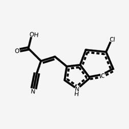 N#C/C(=C\c1c[nH]c2ccc(Cl)cc12)C(=O)O